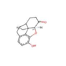 CCC12c3c4ccc(O)c3O[C@@H]1C(=O)CCC2CC4